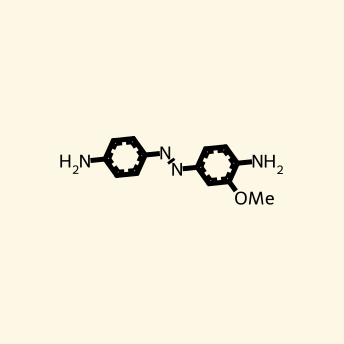 COc1cc(N=Nc2ccc(N)cc2)ccc1N